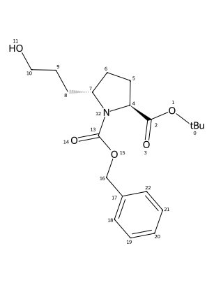 CC(C)(C)OC(=O)[C@@H]1CC[C@@H](CCCO)N1C(=O)OCc1ccccc1